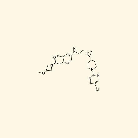 COC1CN(C(=O)Cc2ccc(NCC[C@@H]3C[C@@H]3C3CCN(c4ncc(Cl)cn4)CC3)cc2F)C1